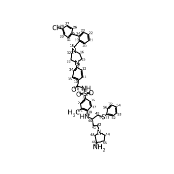 Cc1cc(S(=O)(=O)NC(=O)c2ccc(N3CCN(Cc4ccccc4-c4ccc(Cl)cc4)CC3)cc2)ccc1N[C@H](CCN1CC[C@@H](N)C1)CSc1ccccc1